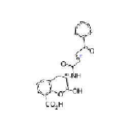 O=C(/C=C/C(=O)c1ccccc1)N[C@H]1Cc2cccc(C(=O)O)c2OB1O